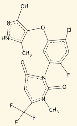 Cc1[nH]nc(O)c1Oc1cc(-n2c(=O)cc(C(F)(F)F)n(C)c2=O)c(F)cc1Cl